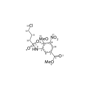 COC(=O)c1cc(NS(=O)(=O)CCCCl)c(OC)c([N+](=O)[O-])c1